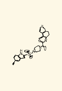 C#Cc1ccc2[nH]c(S(=O)(=O)N3CCN(C(=O)c4ncc5c(n4)CCc4cnccc4-5)CC3)cc2c1